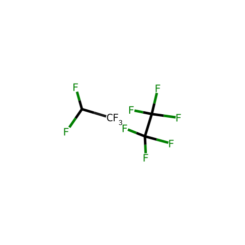 FC(F)(F)C(F)(F)F.FC(F)C(F)(F)F